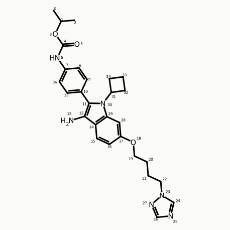 CC(C)OC(=O)Nc1ccc(-c2c(N)c3ccc(OCCCCn4cncn4)cc3n2C2CCC2)cc1